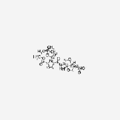 COC(=O)C1SCC(C(=O)N[C@H]2CO[C@H]3[C@@H]2OC[C@@H]3O[N+](=O)[O-])N1C(=O)OC(C)(C)C